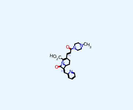 CN1CCN(C(=O)/C=C/C2=C(C(=O)O)N3C(=O)/C(=C/c4ccccn4)C3CC2)CC1